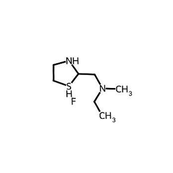 CCN(C)CC1NCC[SH]1F